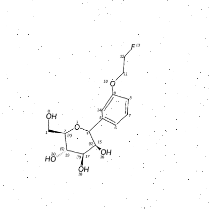 OC[C@H]1OC(c2cccc(OCCF)c2)[C@@H](O)[C@@H](O)[C@@H]1O